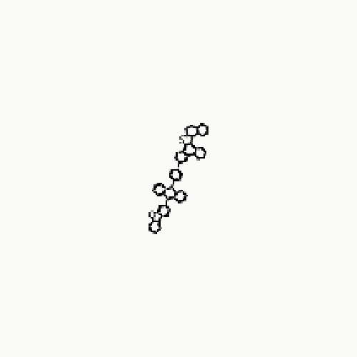 c1ccc2c(c1)ccc1sc3c4ccc(-c5ccc(-c6c7ccccc7c(-c7ccc8c(c7)oc7ccccc78)c7ccccc67)cc5)cc4c4ccccc4c3c12